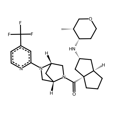 C[C@@H]1COCC[C@@H]1N[C@@H]1C[C@H]2CCC[C@@]2(C(=O)N2C[C@@H]3C[C@H]2CN3c2cc(C(F)(F)F)ccn2)C1